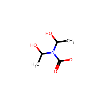 CC(O)N(C([O])=O)C(C)O